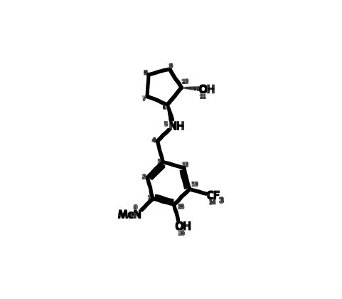 CNc1cc(CN[C@H]2CCC[C@@H]2O)cc(C(F)(F)F)c1O